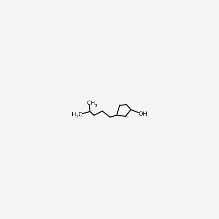 CC(C)CCCC1[CH]C(O)CC1